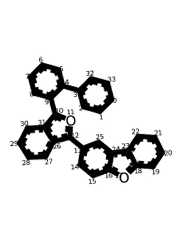 c1ccc(-c2ccccc2-c2oc(-c3ccc4oc5ccccc5c4c3)c3ccccc23)cc1